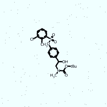 Cc1c(Cl)cccc1S(=O)(=O)Oc1ccc(C(O)CN(C)C(=O)OC(C)(C)C)cc1